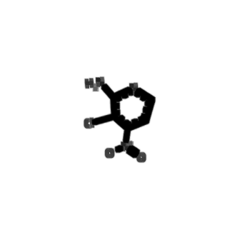 Nc1nccc([N+](=O)[O-])c1Cl